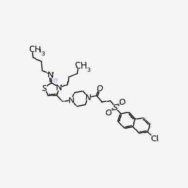 CCCC/N=c1\scc(CN2CCN(C(=O)CCS(=O)(=O)c3ccc4cc(Cl)ccc4c3)CC2)n1CCCC